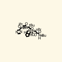 CCCC(NC(=O)[C@@H]1[C@H]2CCC[C@H]2CN1C(=O)[C@@H](NC(=O)[C@@H](NC(=O)c1cnccn1)C(C)C)C(C)(C)C)C(=O)C(=O)N[C@@H](C)CC